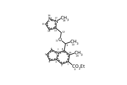 CCOC(=O)c1cc2cccn2c(C(C)OCc2ccnn2C)c1C